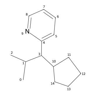 CC(C)C(c1ccccn1)C1CCCC1